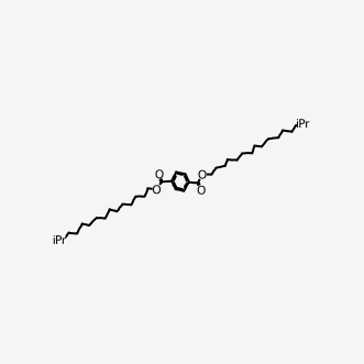 CC(C)CCCCCCCCCCCCCOC(=O)c1ccc(C(=O)OCCCCCCCCCCCCCC(C)C)cc1